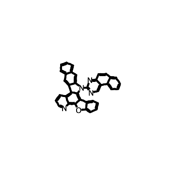 c1ccc2cc3c(cc2c1)c1c2cccnc2c2oc4ccccc4c2c1n3-c1ncc2c(ccc3ccccc32)n1